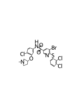 CN1CCC(Oc2cc(NS(=O)(=O)c3cnc(Sc4cccc(Cl)c4Cl)c(Br)c3)ccc2Cl)C1